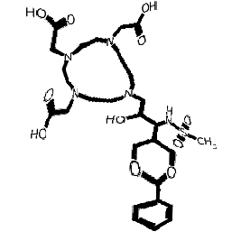 CS(=O)(=O)NC(C(O)CN1CCN(CC(=O)O)CCN(CC(=O)O)CCN(CC(=O)O)CC1)C1COC(c2ccccc2)OC1